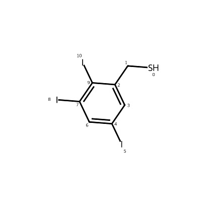 SCc1cc(I)cc(I)c1I